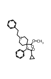 COC(=O)C1(N(C(=O)C2CC2)c2ccccc2)CCN(CCc2ccccc2)CC1